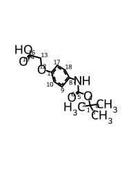 CC(C)(C)OC(=O)Nc1ccc(OCC(=O)O)cc1